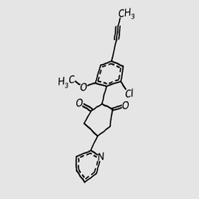 CC#Cc1cc(Cl)c(C2C(=O)CC(c3ccccn3)CC2=O)c(OC)c1